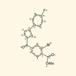 COC(=O)c1ccc(C(=O)c2ccc(-c3ccc(F)cc3)s2)cc1Br